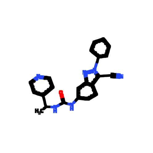 CC(NC(=O)Nc1ccc2c(C#N)n(-c3ccccc3)nc2c1)c1ccncc1